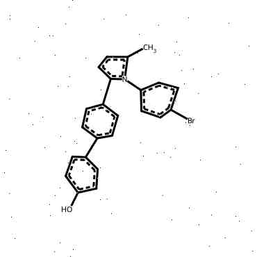 Cc1ccc(-c2ccc(-c3ccc(O)cc3)cc2)n1-c1ccc(Br)cc1